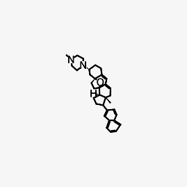 CN1CCN([C@@H]2CCC3=CC4=CC[C@]5(C)C(c6ccc7ccccc7c6)CC[C@H]5C45CC[C@]3(C2)O5)CC1